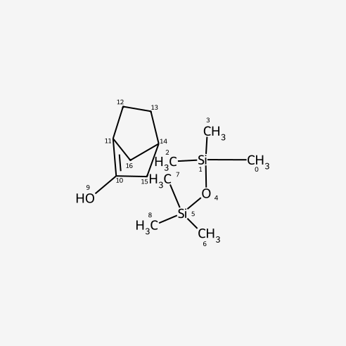 C[Si](C)(C)O[Si](C)(C)C.OC1=C2CCC(C1)C2